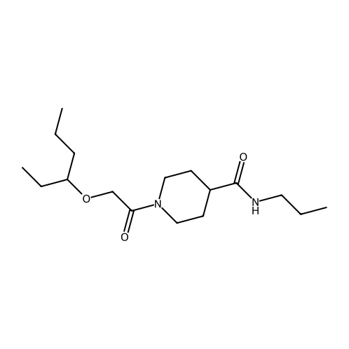 CCCNC(=O)C1CCN(C(=O)COC(CC)CCC)CC1